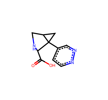 O=C(O)C1NCC2CC21c1[c]nncc1